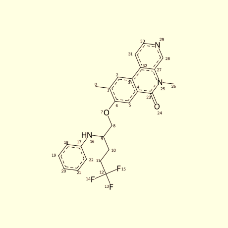 Cc1cc2c(cc1OCC(CCC(F)(F)F)Nc1ccccc1)c(=O)n(C)c1cnccc21